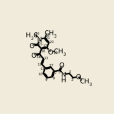 COCCNC(=O)c1cccc(/C=C/C(=O)c2c(OC)cc(C)n(C)c2=O)c1